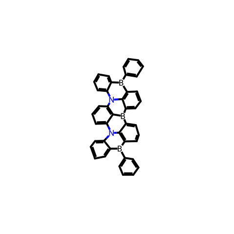 c1ccc(B2c3ccccc3N3c4cccc5c4B(c4cccc2c43)c2cccc3c2N5c2ccccc2B3c2ccccc2)cc1